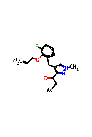 C=CCOc1c(F)cccc1Cc1cn(C)nc1C(=O)CC(C)=O